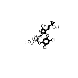 Cc1nn(C)c(Oc2cc(O[C@@H](C)C(=O)O)c(Cl)cc2Cl)c1C=CC1(O)CC1